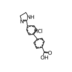 Cl.O=C(O)c1ccc(-c2ccc(C3=NCCN3)cc2)cc1